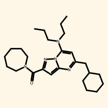 CCCN(CCC)c1cc(CC2CCCCC2)nc2cc(C(=O)N3CCCCCC3)nn12